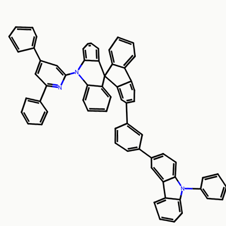 c1ccc(-c2cc(-c3ccccc3)nc(N3c4ccccc4C4(c5ccccc5-c5ccc(-c6cccc(-c7ccc8c(c7)c7ccccc7n8-c7ccccc7)c6)cc54)c4ccccc43)c2)cc1